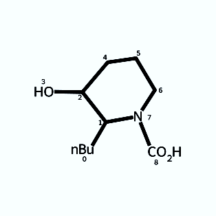 CCCCC1C(O)CCCN1C(=O)O